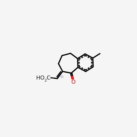 Cc1ccc2c(c1)CCC/C(=C\C(=O)O)C2=O